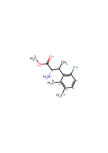 COC(=O)[C@@H](N)C(C)c1c(F)ccc(C)c1C